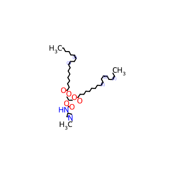 CC/C=C\C/C=C\C/C=C\CCCCCCCC(=O)OCC(COC(=O)CCCCCCC/C=C\C/C=C\CCCCC)OC(=O)NC1CN(CC)C1